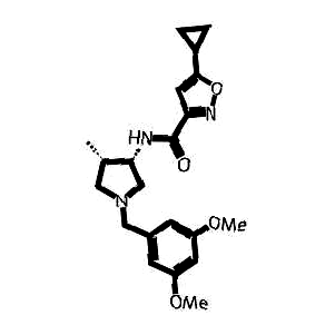 COc1cc(CN2C[C@H](C)[C@H](NC(=O)c3cc(C4CC4)on3)C2)cc(OC)c1